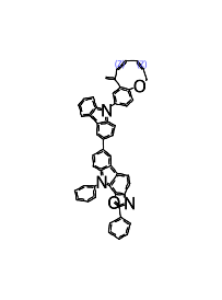 C=C1/C=C\C=C/COc2ccc(-n3c4ccccc4c4cc(-c5ccc6c(c5)c5ccc7nc(-c8ccccc8)oc7c5n6-c5ccccc5)ccc43)cc21